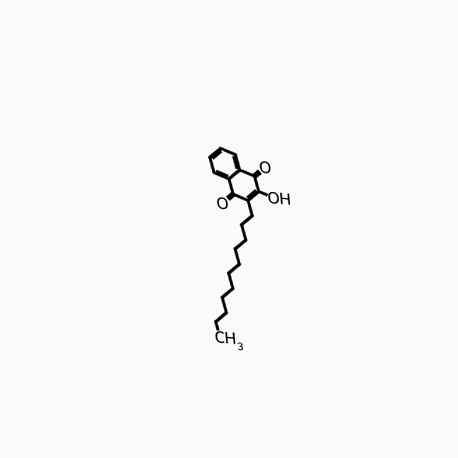 CCCCCCCCCCCC1=C(O)C(=O)c2ccccc2C1=O